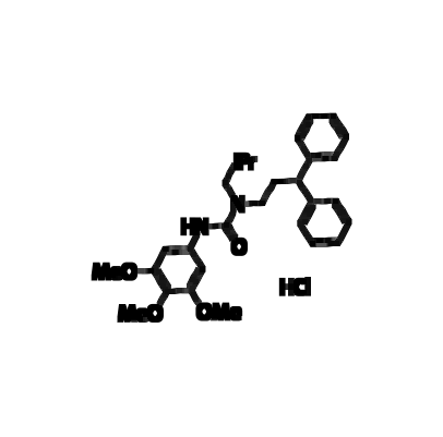 COc1cc(NC(=O)N(CCC(c2ccccc2)c2ccccc2)CC(C)C)cc(OC)c1OC.Cl